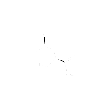 COC(=O)[C@H]1CNC[C@@H](C)C1